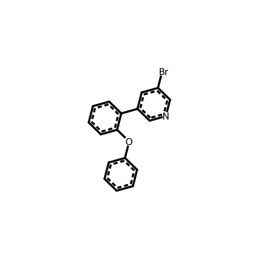 Brc1cncc(-c2ccccc2Oc2ccccc2)c1